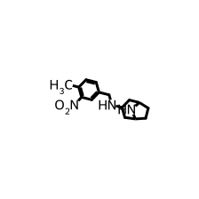 Cc1ccc(CNC2CC3CCC(C2)N3)cc1[N+](=O)[O-]